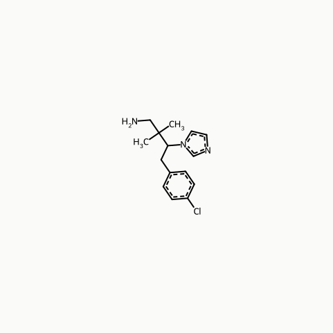 CC(C)(CN)C(Cc1ccc(Cl)cc1)n1ccnc1